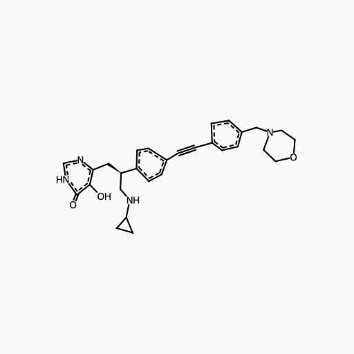 O=c1[nH]cnc(C[C@H](CNC2CC2)c2ccc(C#Cc3ccc(CN4CCOCC4)cc3)cc2)c1O